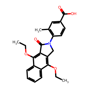 CCOc1c2c(c(OCC)c3ccccc13)C(=O)N(c1ccc(C(=O)O)cc1C)C2